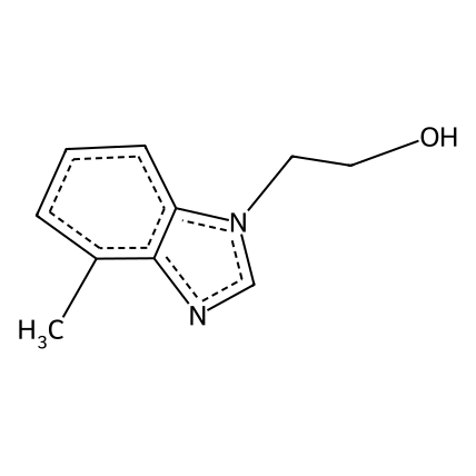 Cc1cccc2c1ncn2CCO